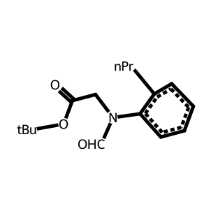 CCCc1ccccc1N(C=O)CC(=O)OC(C)(C)C